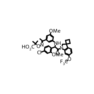 COc1cc(NC(C(=O)N2CC3(CCC3)c3ccc(OC(F)(F)F)cc32)c2ccc(Cl)cc2OC)cc(C(C)=NOC(C)(C)C(=O)O)c1